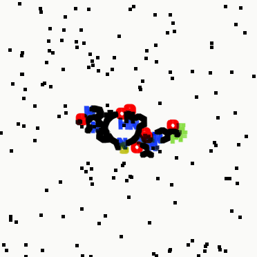 CCn1c(-c2cccnc2[C@H](C)OC)c2c3cc(ccc31)-c1csc(n1)C[C@H](NC(=O)[C@H](C(C)C)N(C)C(=O)N1CCC(C(=O)C(F)(F)F)CC1)C(=O)C1CCC[C@H](N1)C(=O)OCC(C)(C)C2